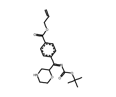 C=CCOC(=O)c1ccc(C(=NC(=O)OC(C)(C)C)C2CNCCO2)cc1